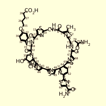 Cc1sc2nc1C(=O)NCc1nc(cs1)C(=O)N[C@@H](Cc1ccc(OCCCCC(=O)O)cc1)C(=O)N1C[C@H](O)[C@H](C)[C@H]1c1nc(cs1)-c1nc(cs1)-c1nc(-c3nc(C(N)=O)cs3)ccc1-c1nc(cs1)C(=O)N[C@H]2CC(N)=O